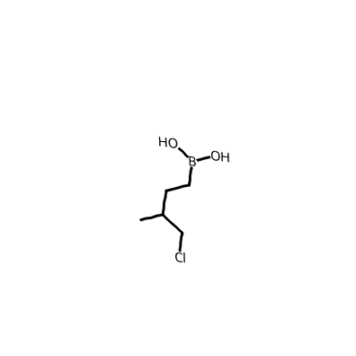 CC(CCl)CCB(O)O